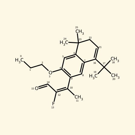 CCCOc1cc2c(cc1/C(C)=C(/F)C=O)C(C(C)(C)C)=CCC2(C)C